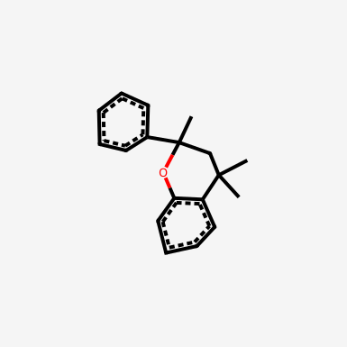 CC1(C)CC(C)(c2ccccc2)Oc2ccccc21